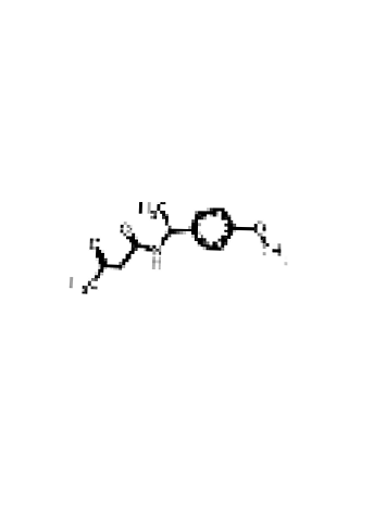 COc1ccc([C@H](C)NC(=O)CC(C)=O)cc1